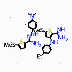 CCc1ccc(Nc2cc(SC)sc2C(=N)N)cc1.CSc1ccc(C(N)=NNc2ccc(N(C)C)cc2)s1